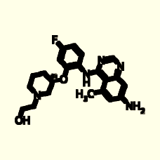 Cc1cc(N)cc2ncnc(Nc3ccc(F)cc3O[C@@H]3CCCN(CCO)C3)c12